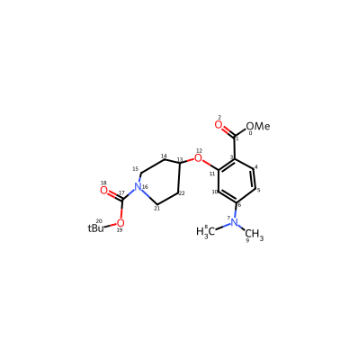 COC(=O)c1ccc(N(C)C)cc1OC1CCN(C(=O)OC(C)(C)C)CC1